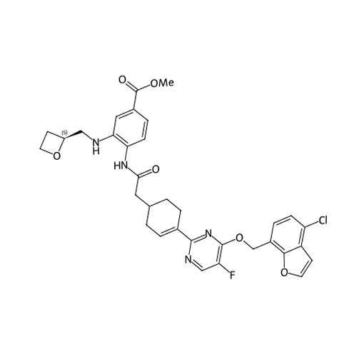 COC(=O)c1ccc(NC(=O)CC2CC=C(c3ncc(F)c(OCc4ccc(Cl)c5ccoc45)n3)CC2)c(NC[C@@H]2CCO2)c1